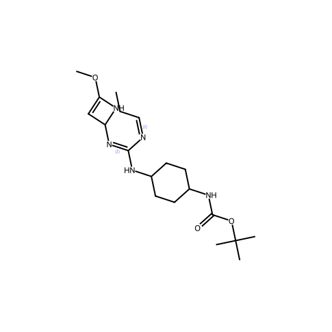 CC/C=N\C(=N/C1C=C(OC)N1)NC1CCC(NC(=O)OC(C)(C)C)CC1